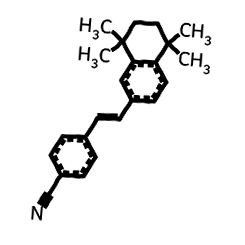 CC1(C)CCC(C)(C)c2cc(C=Cc3ccc(C#N)cc3)ccc21